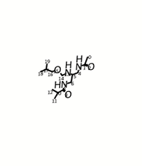 CC(=O)NCC(CNC(=O)C(C)C)NCOCC(C)C